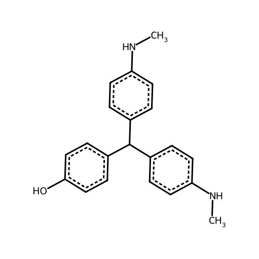 CNc1ccc(C(c2ccc(O)cc2)c2ccc(NC)cc2)cc1